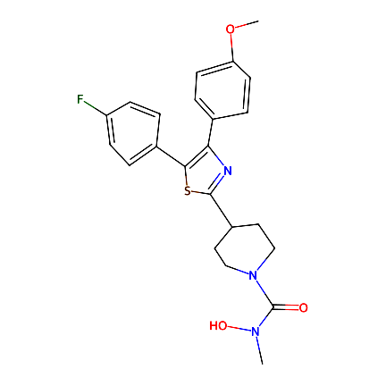 COc1ccc(-c2nc(C3CCN(C(=O)N(C)O)CC3)sc2-c2ccc(F)cc2)cc1